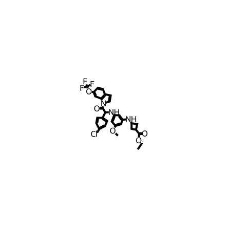 CCOC(=O)C1CC(Nc2cc(NC(C(=O)n3ccc4ccc(OC(F)(F)F)cc43)c3ccc(Cl)cc3)cc(OC)c2)C1